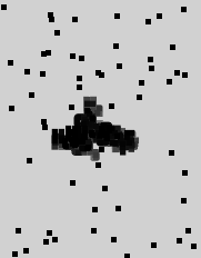 CC(C)(O)C(=O)Nc1sc(S(=O)(=O)c2ccc(C(F)(F)F)cn2)cc1C(N)=O